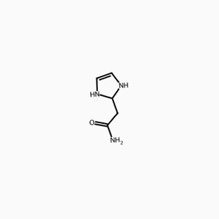 NC(=O)CC1NC=CN1